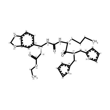 CCCC[C@@H](NC(=O)N[C@H](CC(=O)OCC)c1ccc2c(c1)OCO2)C(=O)N(Cc1cccs1)Cc1cccs1